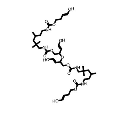 CC(CCNC(=O)OCCC=CO)CC(C)(C)CNC(=O)OCC(C=CO)OC(C=CO)COC(=O)NCC(C)(C)CC(C)CCNC(=O)OCCC=CO